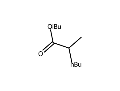 CCCCC(C)C(=O)OCC(C)C